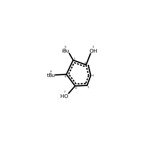 CCC(C)c1c(O)ccc(O)c1C(C)(C)C